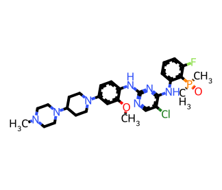 COc1cc(N2CCC(N3CCN(C)CC3)CC2)ccc1Nc1ncc(Cl)c(Nc2cccc(F)c2P(C)(C)=O)n1